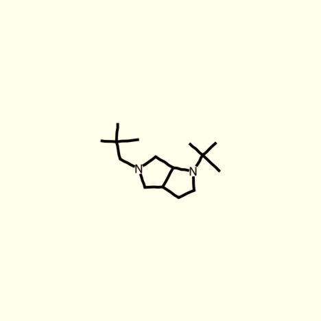 CC(C)(C)CN1CC2CCN(C(C)(C)C)C2C1